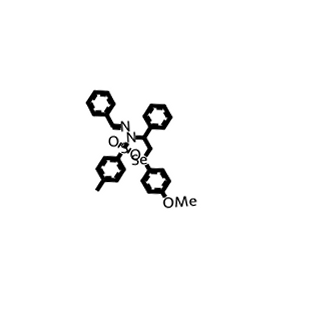 COc1ccc([Se]CC(c2ccccc2)N(N=Cc2ccccc2)S(=O)(=O)c2ccc(C)cc2)cc1